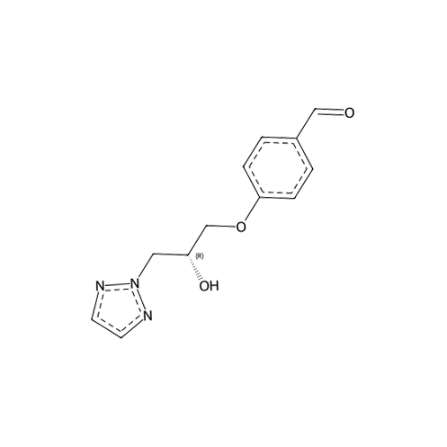 O=Cc1ccc(OC[C@H](O)Cn2nccn2)cc1